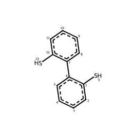 Sc1ccccc1-c1ccccc1S